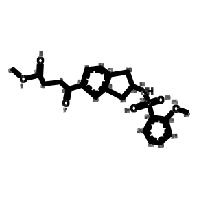 COC(=O)CCC(=O)c1ccc2c(c1)CC(NS(=O)(=O)c1ccccc1OC)C2